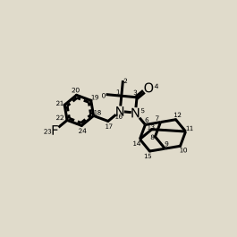 CC1(C)C(=O)N(C2C3CC4CC(C3)CC2C4)N1Cc1cccc(F)c1